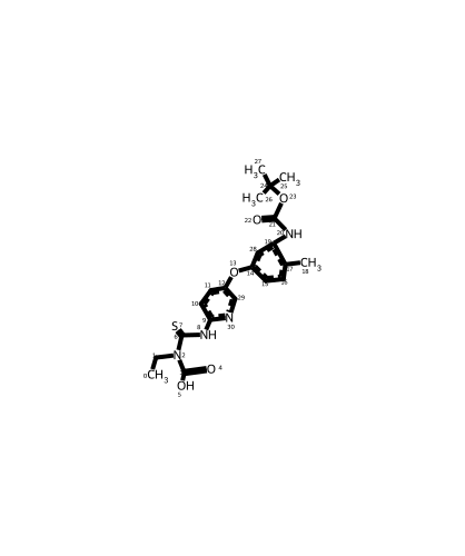 CCN(C(=O)O)C(=S)Nc1ccc(Oc2ccc(C)c(NC(=O)OC(C)(C)C)c2)cn1